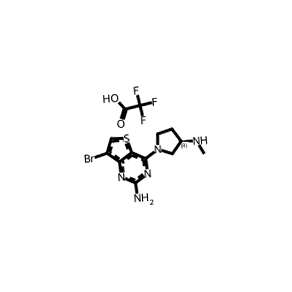 CN[C@@H]1CCN(c2nc(N)nc3c(Br)csc23)C1.O=C(O)C(F)(F)F